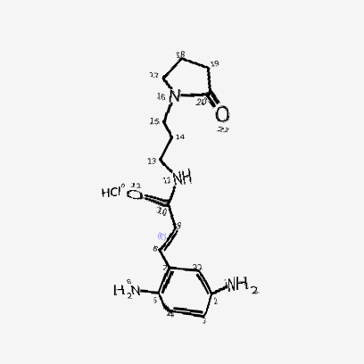 Cl.Nc1ccc(N)c(/C=C/C(=O)NCCCN2CCCC2=O)c1